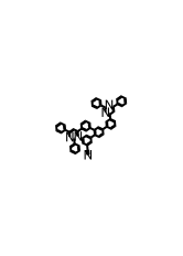 N#Cc1cccc(-c2ccc(-c3cccc(-c4cc(-c5ccccc5)nc(-c5ccccc5)n4)c3)cc2-c2cccc(-c3cc(-c4ccccc4)nc(-c4ccccc4)n3)c2)c1